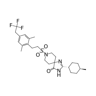 Cc1cc(CC(F)(F)F)cc(C)c1CCS(=O)(=O)N1CCC2(CC1)N=C([C@H]1CC[C@H](C)CC1)NC2=O